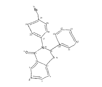 O=C1c2ccccc2SC(c2ccccc2)N1c1ccc(Br)cc1